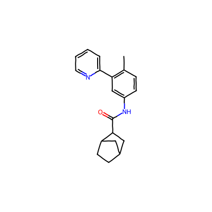 Cc1ccc(NC(=O)C2CC3CCC2C3)cc1-c1ccccn1